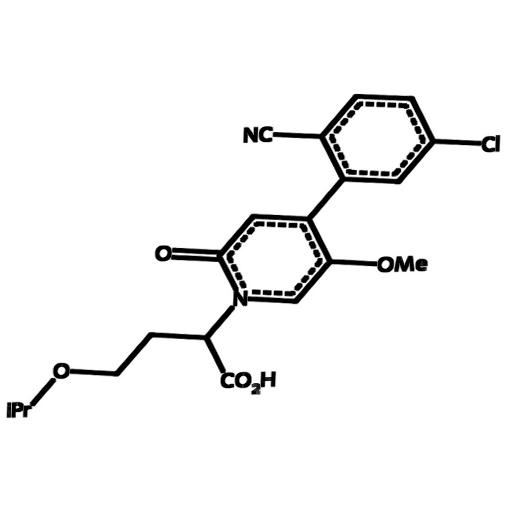 COc1cn(C(CCOC(C)C)C(=O)O)c(=O)cc1-c1cc(Cl)ccc1C#N